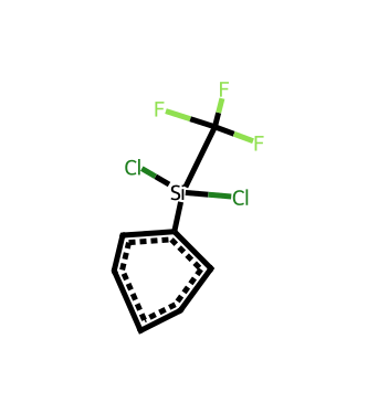 FC(F)(F)[Si](Cl)(Cl)c1ccccc1